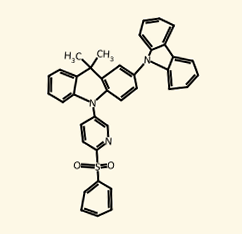 CC1(C)c2ccccc2N(c2ccc(S(=O)(=O)c3ccccc3)nc2)c2ccc(-n3c4ccccc4c4ccccc43)cc21